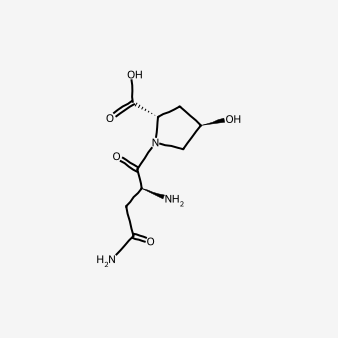 NC(=O)C[C@H](N)C(=O)N1C[C@H](O)C[C@H]1C(=O)O